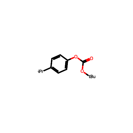 C[C](C)c1ccc(OC(=O)OC(C)(C)C)cc1